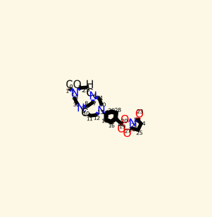 O=C(O)CN1CCCN2CCN(CCCN(c3ccc(C(=O)ON4C(=O)CCC4=O)cc3)CC2)CC1